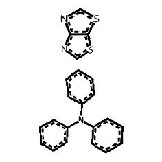 c1ccc(N(c2ccccc2)c2ccccc2)cc1.c1nc2ncsc2s1